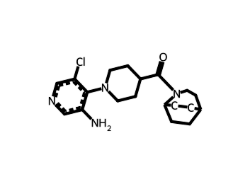 Nc1cncc(Cl)c1N1CCC(C(=O)N2CCC3CCC2CC3)CC1